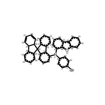 Brc1ccc(N(c2cccc3c2-c2ccccc2C32c3ccccc3C3C=CC=CC32)c2cccc3c2oc2ccccc23)cc1